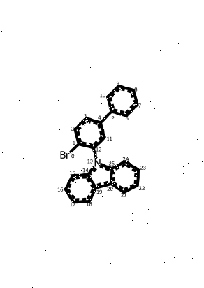 Brc1ccc(-c2ccccc2)cc1-n1c2ccccc2c2ccccc21